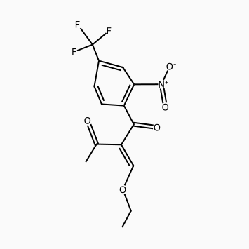 CCOC=C(C(C)=O)C(=O)c1ccc(C(F)(F)F)cc1[N+](=O)[O-]